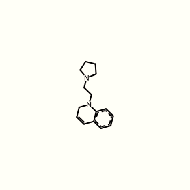 C1=Cc2ccccc2N(CCN2CCCC2)C1